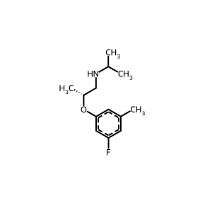 Cc1cc(F)cc(O[C@H](C)CNC(C)C)c1